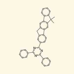 CC1(C)c2ccccc2-c2cc3c(cc21)-c1ccc(-c2nc(-c4ccccc4)nc(-c4ccccc4)n2)cc1C3